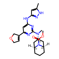 COC(=O)N1[C@@H]2CCC[C@H]1C[C@H](N(C)c1nc(Nc3cc(C)[nH]n3)cc(C3=CCOC3)n1)C2